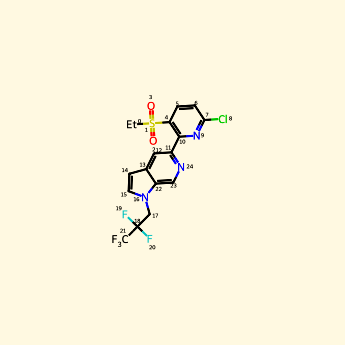 CCS(=O)(=O)c1ccc(Cl)nc1-c1cc2ccn(CC(F)(F)C(F)(F)F)c2cn1